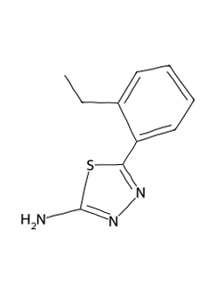 CCc1ccccc1-c1nnc(N)s1